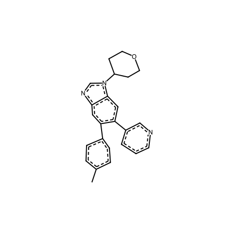 Cc1ccc(-c2cc3ncn(C4CCOCC4)c3cc2-c2cccnc2)cc1